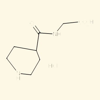 Cl.O=C(O)CNC(=O)C1CCNCC1